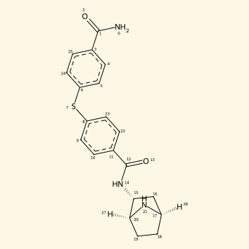 NC(=O)c1ccc(Sc2ccc(C(=O)N[C@@H]3C[C@H]4CC[C@@H]3N4)cc2)cc1